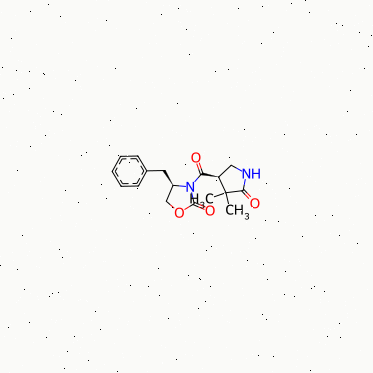 CC1(C)C(=O)NC[C@@H]1C(=O)N1C(=O)OC[C@H]1Cc1ccccc1